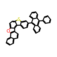 c1ccc(-c2c3ccccc3c(-c3ccc4c(c3)sc3ccc5oc6c7ccccc7ccc6c5c34)c3ccccc23)cc1